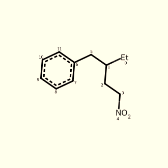 CCC(CC[N+](=O)[O-])Cc1ccccc1